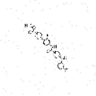 COC(=O)N1CCN(c2ccc(NC(=O)N3CCN(C(=O)c4cccc(F)c4)CC3)cc2F)CC1